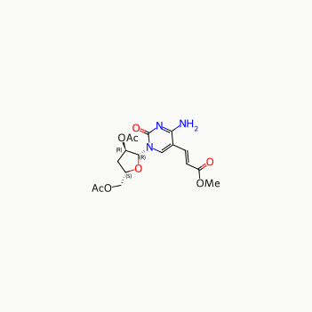 COC(=O)C=Cc1cn([C@@H]2O[C@H](COC(C)=O)C[C@H]2OC(C)=O)c(=O)nc1N